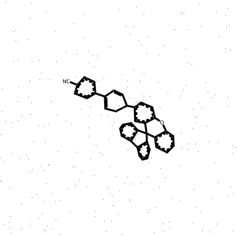 N#Cc1ccc(C2=CCC(c3ccc4c(c3)C3(c5ccccc5O4)c4ccccc4-c4ccccc43)C=C2)cc1